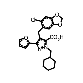 O=C(O)c1c(Cc2cc3c(cc2Cl)OCO3)c(-c2ccco2)nn1CC1CCCCC1